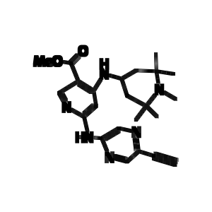 C#Cc1cnc(Nc2cc(NC3CC(C)(C)N(C)C(C)(C)C3)c(C(=O)OC)cn2)cn1